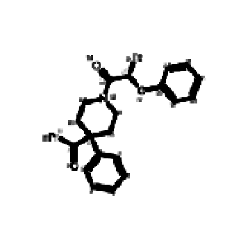 CCCC(=O)C1(c2ccccc2)CCN(C(=O)C(CC)Oc2ccccc2)CC1